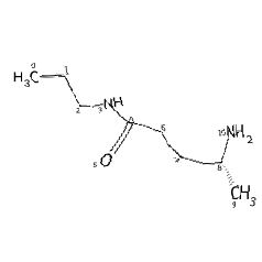 CCCNC(=O)CC[C@@H](C)N